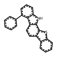 c1ccc(-c2cccc3[nH]c4c(ccc5c6ccccc6sc54)c23)cc1